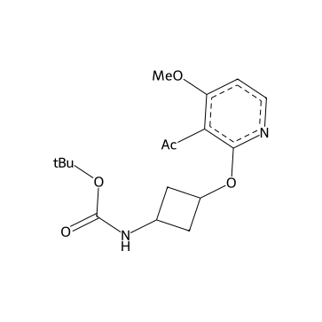 COc1ccnc(OC2CC(NC(=O)OC(C)(C)C)C2)c1C(C)=O